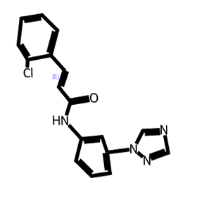 O=C(/C=C/c1ccccc1Cl)Nc1cccc(-n2cncn2)c1